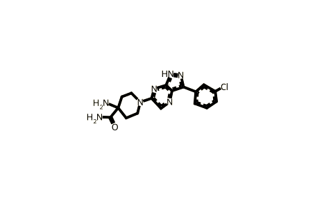 NC(=O)C1(N)CCN(c2cnc3c(-c4cccc(Cl)c4)n[nH]c3n2)CC1